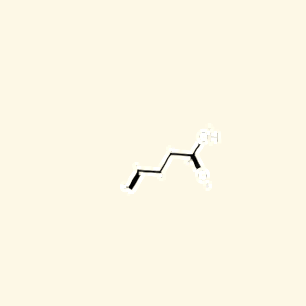 [CH]=CCCC(=O)O